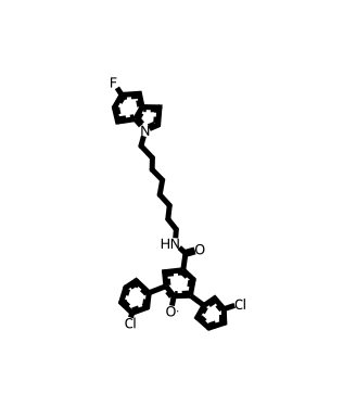 [O]c1c(-c2cccc(Cl)c2)cc(C(=O)NCCCCCCCCn2ccc3cc(F)ccc32)cc1-c1cccc(Cl)c1